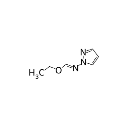 CCO/C=N/n1cccn1